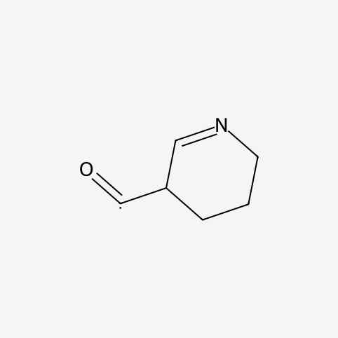 O=[C]C1C=NCCC1